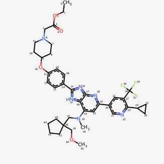 CCOC(=O)CN1CCC(Oc2ccc(-c3nc4nc(-c5cnc(C6CC6)c(C(F)(F)F)c5)cc(N(C)CC5(COC)CCCC5)c4[nH]3)cc2)CC1